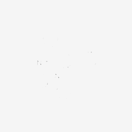 N#Cc1c(-c2ccccc2)cc(-c2ccccc2)cc1-n1c2ccccc2c2ccccc21